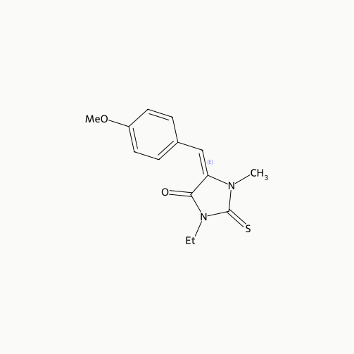 CCN1C(=O)/C(=C\c2ccc(OC)cc2)N(C)C1=S